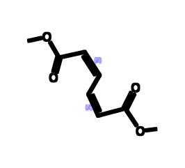 COC(=O)/C=C\C=C/C(=O)OC